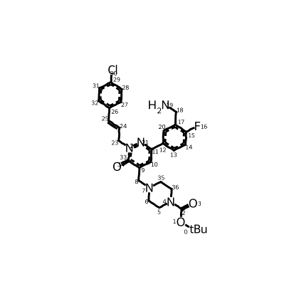 CC(C)(C)OC(=O)N1CCN(Cc2cc(-c3ccc(F)c(CN)c3)nn(C/C=C/c3ccc(Cl)cc3)c2=O)CC1